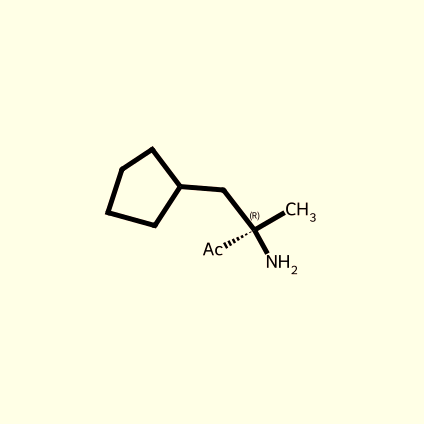 CC(=O)[C@](C)(N)CC1CCCC1